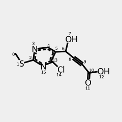 CSc1ncc(C(O)C#CC(=O)O)c(Cl)n1